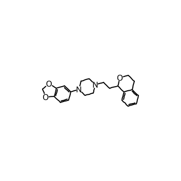 c1ccc2c(c1)CCOC2CCN1CCN(c2ccc3c(c2)OCO3)CC1